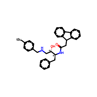 CC(C)(C)c1ccc(CNC[C@H](O)[C@H](Cc2ccccc2)NC(=O)CC2c3ccccc3-c3ccccc32)cc1